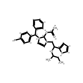 CCC(C)OC(CN1C=CN(C(c2ccccc2)c2ccc(F)cc2)C1OC(C)=O)c1cccs1